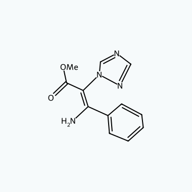 COC(=O)C(=C(N)c1ccccc1)n1cncn1